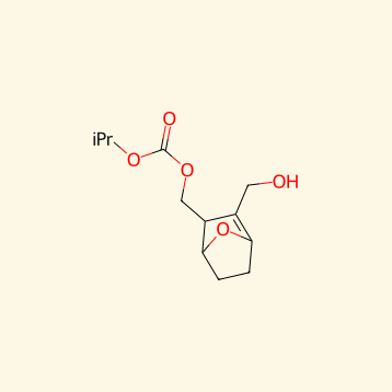 CC(C)OC(=O)OCC1C(CO)=C2CCC1O2